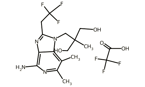 Cc1nc(N)c2nc(CC(F)(F)F)n(CC(C)(CO)CO)c2c1C.O=C(O)C(F)(F)F